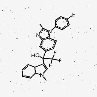 Cc1nc2cc(C(O)(C3=CN(C)C4C=CC=CC34)C(F)(F)F)ccc2n1-c1ccc(F)cc1